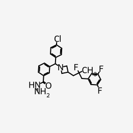 CC(F)(Cc1cc(F)cc(F)c1)CC1CN(C(c2ccc(Cl)cc2)c2cccc(C(=O)NN)c2)C1